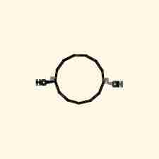 O[C@H]1CCCCCC[C@H](O)CCCCC1